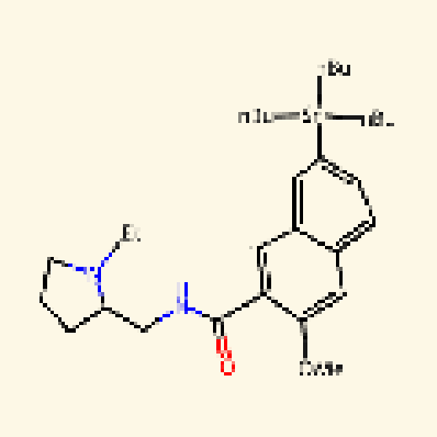 CCC[CH2][Sn]([CH2]CCC)([CH2]CCC)[c]1ccc2cc(OC)c(C(=O)NCC3CCCN3CC)[c]c2c1